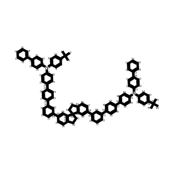 CC(C)(C)c1ccc(N(c2ccc(-c3ccccc3)cc2)c2ccc(-c3ccc(-c4cccc(-c5ccc6c(c5)C5(CC6)CCc6ccc(-c7cccc(-c8ccc(-c9ccc(N(c%10ccc(-c%11ccccc%11)cc%10)c%10ccc(C(C)(C)C)cc%10)cc9)cc8)c7)cc65)c4)cc3)cc2)cc1